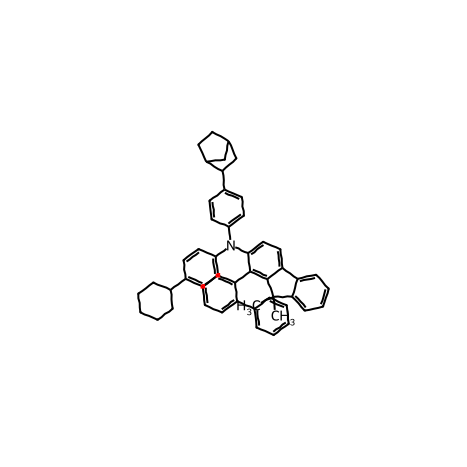 CC1(C)c2ccccc2-c2ccc(N(c3ccc(C4CCCCC4)cc3)c3ccc(C4CC5CCC4C5)cc3)c(-c3ccccc3-c3ccccc3)c21